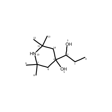 CCC(O)C1(O)CC(C)(C)NC(C)(C)C1